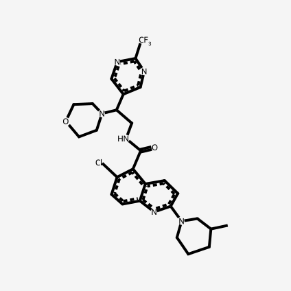 CC1CCCN(c2ccc3c(C(=O)NCC(c4cnc(C(F)(F)F)nc4)N4CCOCC4)c(Cl)ccc3n2)C1